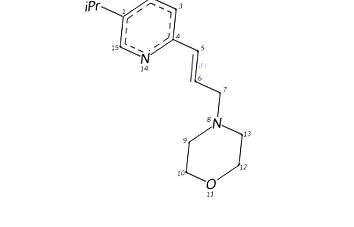 CC(C)c1ccc(/C=C/CN2CCOCC2)nc1